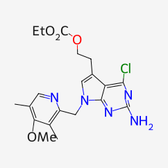 CCOC(=O)OCCc1cn(Cc2ncc(C)c(OC)c2C)c2nc(N)nc(Cl)c12